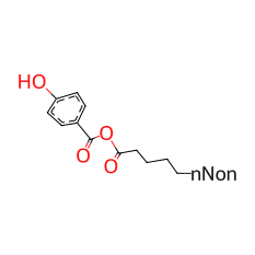 CCCCCCCCCCCCCC(=O)OC(=O)c1ccc(O)cc1